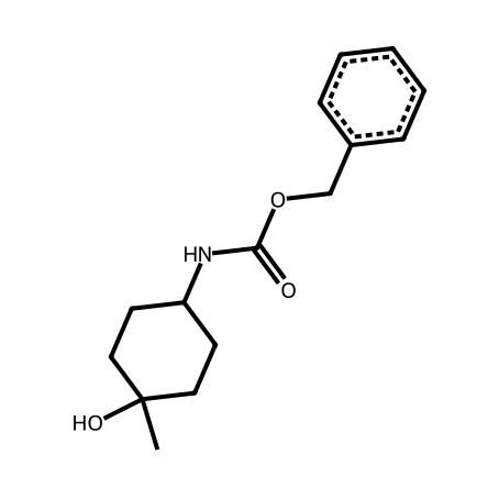 CC1(O)CCC(NC(=O)OCc2ccccc2)CC1